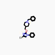 CCc1cn(-c2ccccc2)c(OCC2CCN(Cc3ccccc3)CC2)n1